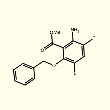 COC(=O)c1c(N)c(F)cc(F)c1OCc1ccccc1